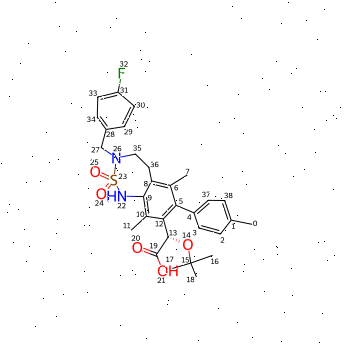 Cc1ccc(-c2c(C)c3c(c(C)c2[C@H](OC(C)(C)C)C(=O)O)NS(=O)(=O)N(Cc2ccc(F)cc2)CC3)cc1